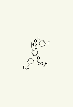 CN(Cc1ccc(OC(C(=O)O)c2cccc(C(F)(F)F)c2)cc1)S(=O)(=O)c1ccc(F)cc1F